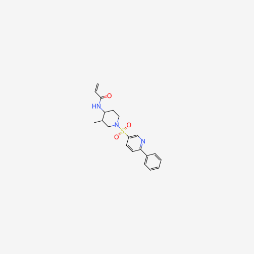 C=CC(=O)NC1CCN(S(=O)(=O)c2ccc(-c3ccccc3)nc2)CC1C